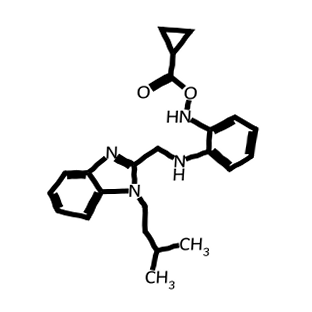 CC(C)CCn1c(CNc2ccccc2NOC(=O)C2CC2)nc2ccccc21